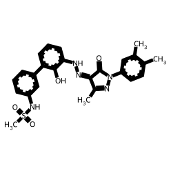 CC1=NN(c2ccc(C)c(C)c2)C(=O)C1=NNc1cccc(-c2cccc(NS(C)(=O)=O)c2)c1O